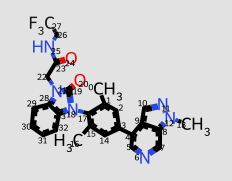 Cc1cc(-c2cncc3c2cnn3C)cc(C)c1-n1c(=O)n(CC(=O)NCC(F)(F)F)c2ccccc21